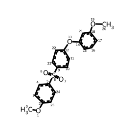 COc1ccc(S(=O)(=O)c2ccc(Oc3cccc(OC)c3)cc2)cc1